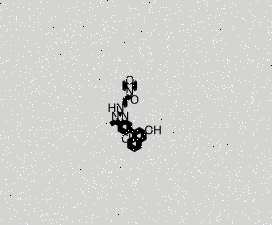 Cc1nc(NCCC(=O)N2CCOCC2)nc2cc(-c3cc(O)cc4ccccc34)c(Cl)cc12